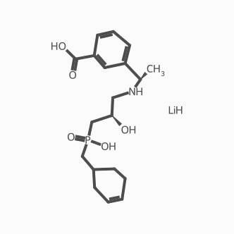 C[C@@H](NC[C@@H](O)CP(=O)(O)CC1CC=CCC1)c1cccc(C(=O)O)c1.[LiH]